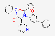 O=C(NC1CCCCC1)C(c1cccnc1)N(C(=O)c1ccco1)c1ccc(-c2ccccc2)cc1